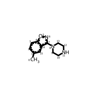 Cc1ccc2onc(N3CCNCC3)c2c1